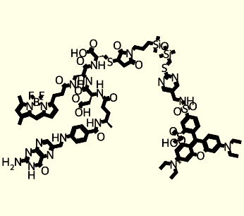 CCN(CC)c1ccc2c(-c3ccc(S(=O)(=O)NCc4cnc(SC[Si](C)(C)O[Si](C)(C)CCCN5C(=O)CC(SC[C@H](NC(=O)[C@H](CNC(=O)CCC6=[N+]7C(=Cc8c(C)cc(C)n8[B-]7(F)F)C=C6)NC(=O)[C@H](CC(=O)O)NC(=O)CC[C@@H](C)NC(=O)c6ccc(NCc7cnc8nc(N)[nH]c(=O)c8n7)cc6)C(=O)O)C5=O)nc4)cc3S(=O)(=O)O)c3ccc(=[N+](CC)CC)cc-3oc2c1